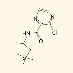 CC(C[Si](C)(C)C)NC(=O)c1nccnc1Cl